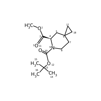 COC(=O)[C@H]1CC2(CCN1C(=O)OC(C)(C)C)CC2